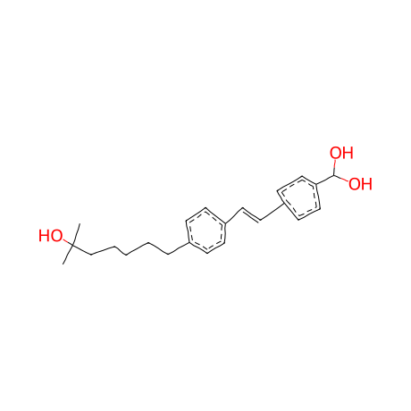 CC(C)(O)CCCCCc1ccc(C=Cc2ccc(C(O)O)cc2)cc1